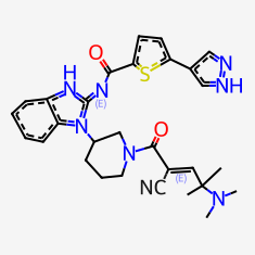 CN(C)C(C)(C)/C=C(\C#N)C(=O)N1CCCC(n2/c(=N/C(=O)c3ccc(-c4cn[nH]c4)s3)[nH]c3ccccc32)C1